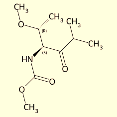 COC(=O)N[C@H](C(=O)C(C)C)[C@@H](C)OC